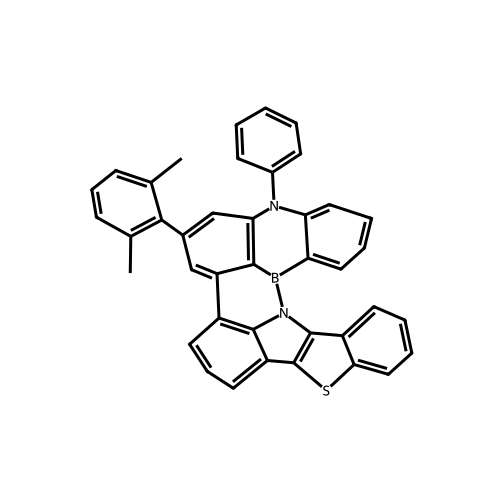 Cc1cccc(C)c1-c1cc2c3c(c1)N(c1ccccc1)c1ccccc1B3n1c3c-2cccc3c2sc3ccccc3c21